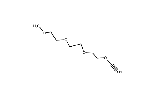 C#COCCOCCOCCOC